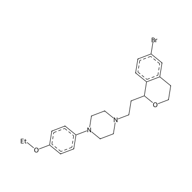 CCOc1ccc(N2CCN(CCC3OCCc4cc(Br)ccc43)CC2)cc1